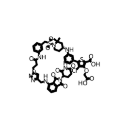 CC1(C)C[C@H](Nc2cccc(-c3sc(C(=O)O)c(OCC(=O)O)c3Cl)c2)CCN1S(=O)(=O)Cc1cccc(NC(=O)CCn2cc(CNc3cccc4c3C(=O)N(C3CCC(=O)NC3=O)C4=O)nn2)c1